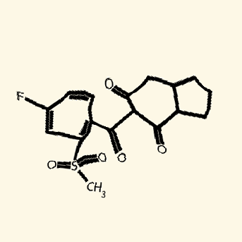 CS(=O)(=O)c1cc(F)ccc1C(=O)C1C(=O)CC2CCCC2C1=O